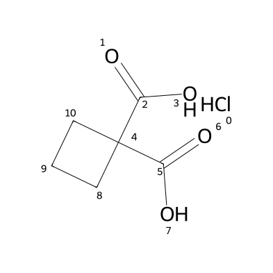 Cl.O=C(O)C1(C(=O)O)CCC1